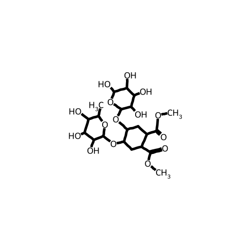 COC(=O)C1CC(OC2OC(C)C(O)C(O)C2O)C(OC2OC(O)C(O)C(O)C2O)CC1C(=O)OC